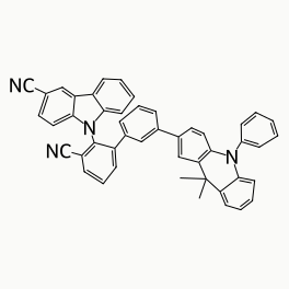 CC1(C)c2ccccc2N(c2ccccc2)c2ccc(-c3cccc(-c4cccc(C#N)c4-n4c5ccccc5c5cc(C#N)ccc54)c3)cc21